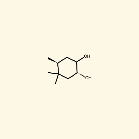 C[C@H]1CC(O)[C@H](O)CC1(C)C